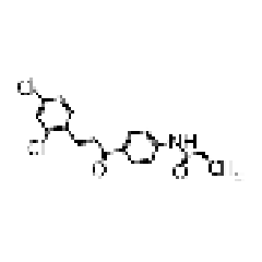 C=CC(=O)Nc1ccc(C(=O)C=Cc2ccc(Cl)cc2Cl)cc1